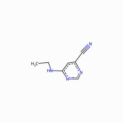 CCNc1cc(C#N)ncn1